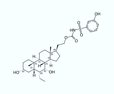 CC[C@H]1[C@@H](O)[C@@H]2[C@H](CC[C@]3(C)[C@@H](CCOC(=O)NS(=O)(=O)c4cccc(O)c4)CC[C@@H]23)[C@@]2(C)CC[C@@H](O)C[C@@H]12